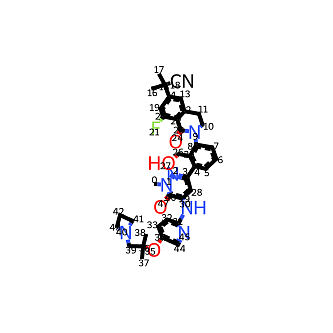 Cn1nc(-c2cccc(N3CCc4cc(C(C)(C)C#N)cc(F)c4C3=O)c2CO)cc(Nc2ccc(OC(C)(C)CN3CCC3)cn2)c1=O